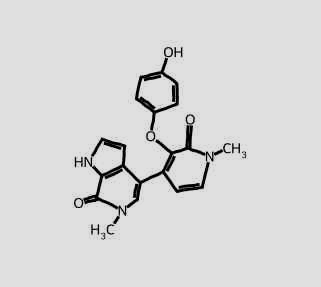 Cn1ccc(-c2cn(C)c(=O)c3[nH]ccc23)c(Oc2ccc(O)cc2)c1=O